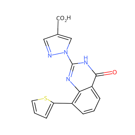 O=C(O)c1cnn(-c2nc3c(-c4cccs4)cccc3c(=O)[nH]2)c1